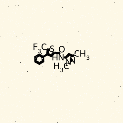 Cc1cc(NC(=O)c2cc(-c3ccccc3)c(C(F)(F)F)s2)n(C)n1